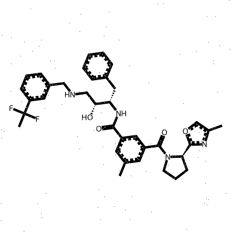 Cc1cc(C(=O)N[C@@H](Cc2ccccc2)[C@H](O)CNCc2cccc(C(C)(F)F)c2)cc(C(=O)N2CCC[C@@H]2c2nc(C)co2)c1